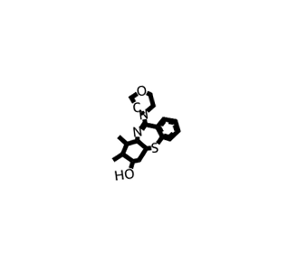 CC1C(O)CC2Sc3ccccc3C(N3CCOCC3)=NC2C1C